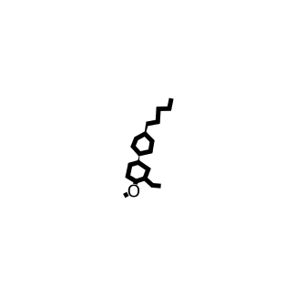 CCCCC[C@H]1CC[C@H](C2CCC(OC)C(CC)C2)CC1